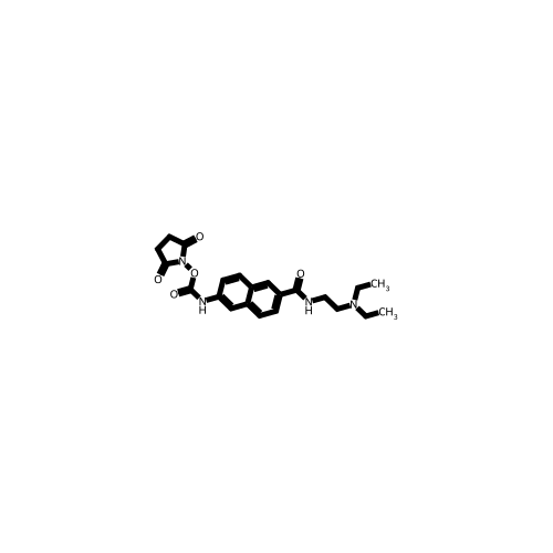 CCN(CC)CCNC(=O)c1ccc2cc(NC(=O)ON3C(=O)CCC3=O)ccc2c1